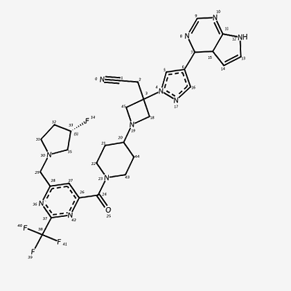 N#CCC1(n2cc(C3N=CN=C4NC=CC43)cn2)CN(C2CCN(C(=O)c3cc(CN4CC[C@H](F)C4)nc(C(F)(F)F)n3)CC2)C1